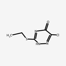 CCSc1nc(=O)c(Cl)n[nH]1